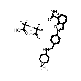 CN1CCC(NCc2ccc(-n3cc4cccc(C(N)=O)c4n3)cc2)CC1.O=C(O)C(F)(F)F.O=C(O)C(F)(F)F